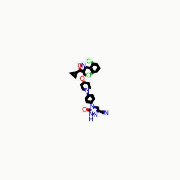 N#CC1=NNC(=O)N(c2ccc(N3CCC(OCc4c(-c5c(Cl)cccc5Cl)noc4C4CC4)CC3)cc2)C1